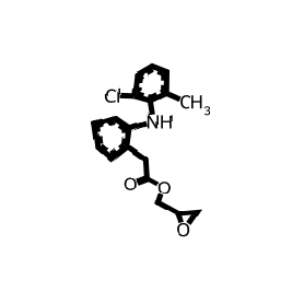 Cc1cccc(Cl)c1Nc1ccccc1CC(=O)OCC1CO1